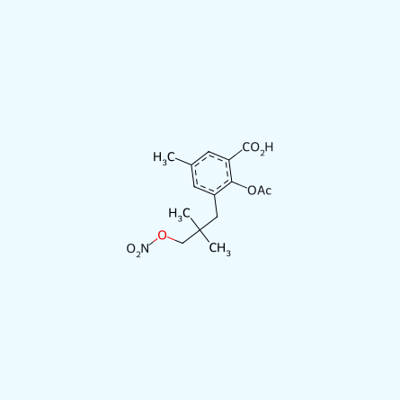 CC(=O)Oc1c(CC(C)(C)CO[N+](=O)[O-])cc(C)cc1C(=O)O